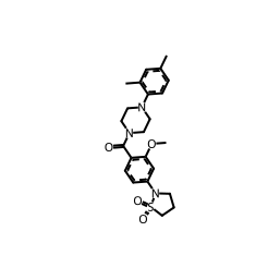 COc1cc(N2CCCS2(=O)=O)ccc1C(=O)N1CCN(c2ccc(C)cc2C)CC1